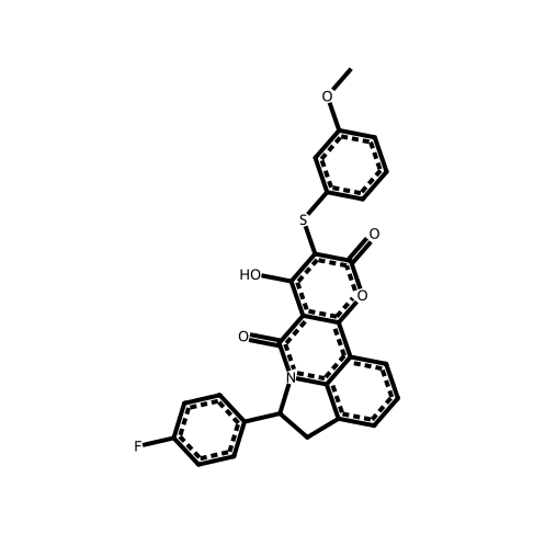 COc1cccc(Sc2c(O)c3c(=O)n4c5c(cccc5c3oc2=O)CC4c2ccc(F)cc2)c1